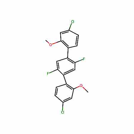 COc1cc(Cl)ccc1-c1cc(F)c(-c2ccc(Cl)cc2OC)cc1F